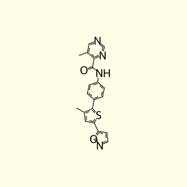 Cc1cncnc1C(=O)Nc1ccc(-c2sc(-c3ccno3)cc2C)cc1